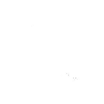 CONC(=O)CCCCCCC/C=C\C#CC#Cc1ccco1